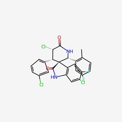 Cc1ccc(F)cc1[C@H]1NC(=O)[C@@H](Cl)[C@@H](c2cccc(Cl)c2)[C@]12C(=O)Nc1cc(Cl)c(F)cc12